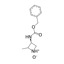 CC1[C@@H](NC(=O)OCc2ccccc2)C[NH+]1[O-]